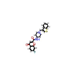 O=C(NC1CCN(Cc2csc3ccccc23)CC1)c1cc(=O)c2ccc(F)cc2o1